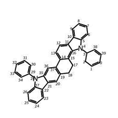 C1=CCC(n2c3ccccc3c3ccc4c(c32)CCc2cc3c5ccccc5n(-c5ccccc5)c3cc2-4)C=C1